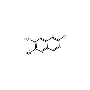 Nc1nc2ccc(O)cc2cc1C(=O)O